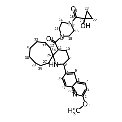 COc1ccc2cc(C3CCC(C(=O)N4CCN(C(=O)C5(O)CC5)CC4)C4(CCCCCCCC4)N3)ccc2n1